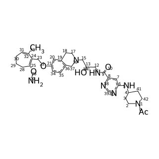 CC(=O)N1CCC(Nc2cc(C(=O)NC[C@H](O)CN3CCc4cc(OCC5=C(ON)CCCC=C5C)ccc4C3)ncn2)CC1